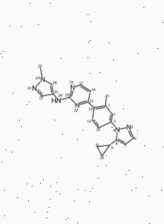 Cc1cc(-n2nccc2C2CC2)ccc1-c1ccnc(Nc2cnn(C)c2)n1